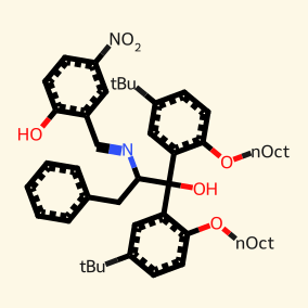 CCCCCCCCOc1ccc(C(C)(C)C)cc1C(O)(c1cc(C(C)(C)C)ccc1OCCCCCCCC)C(Cc1ccccc1)N=Cc1cc([N+](=O)[O-])ccc1O